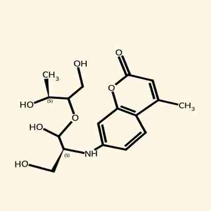 Cc1cc(=O)oc2cc(N[C@@H](CO)C(O)OC(CO)[C@H](C)O)ccc12